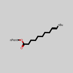 CCCCC=CCCCCCCCC(=O)OCCCCC